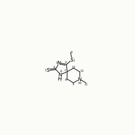 CSC1=NC(=S)NC12CCN(C)CC2